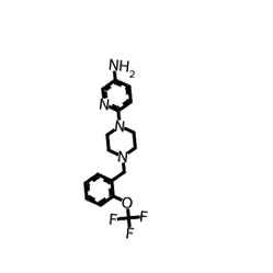 Nc1ccc(N2CCN(Cc3ccccc3OC(F)(F)F)CC2)nc1